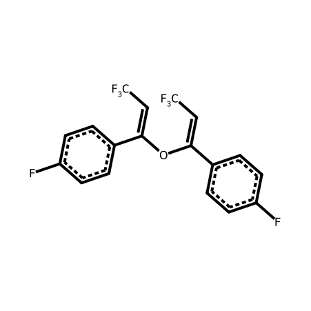 Fc1ccc(C(=CC(F)(F)F)OC(=CC(F)(F)F)c2ccc(F)cc2)cc1